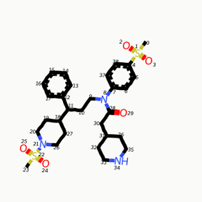 CS(=O)(=O)c1ccc(N(CCC(c2ccccc2)C2CCN(S(C)(=O)=O)CC2)C(=O)CC2CCNCC2)cc1